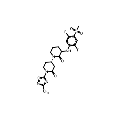 CS(=O)(=O)c1cc(F)c(NC2CCCN([C@H]3CCN(c4nc(C(F)(F)F)no4)C(=O)C3)C2=O)cc1F